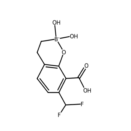 O=C(O)c1c(C(F)F)ccc2c1O[B-](O)(O)CC2